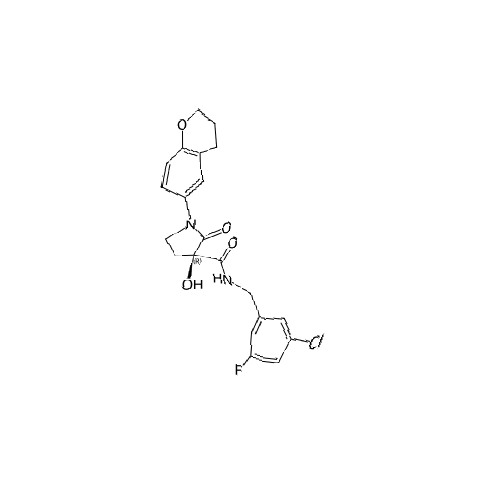 O=C(NCc1cc(F)cc(Cl)c1)[C@]1(O)CCN(c2ccc3c(c2)CCCO3)C1=O